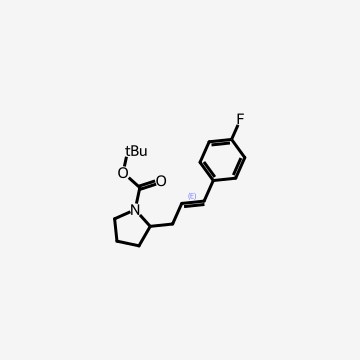 CC(C)(C)OC(=O)N1CCCC1C/C=C/c1ccc(F)cc1